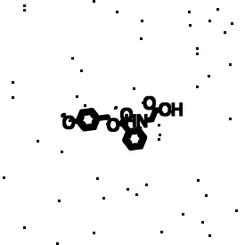 COc1ccc(COC(=O)c2ccccc2NCC(=O)O)cc1